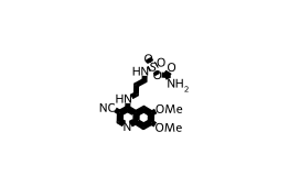 COc1cc2ncc(C#N)c(NCCCNS(=O)(=O)OC(N)=O)c2cc1OC